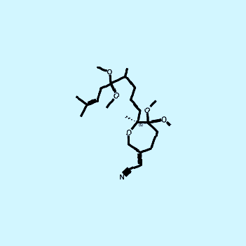 COC(CC=C(C)C)(OC)C(C)CCC[C@]1(C)OCC(=CC#N)CCC1(OC)OC